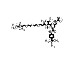 CC(C)[C@H](NC(=O)CCOCCOCCOCCNC(C)(C)C)C(=O)N[C@@H](CCCNC(N)=O)C(=O)Nc1ccc(C(C)(C)C)cc1